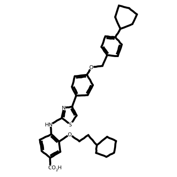 O=C(O)c1ccc(Nc2nc(-c3ccc(OCc4ccc(C5CCCCC5)cc4)cc3)cs2)c(OCCC2CCCCC2)c1